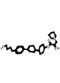 C=C(CN1CCCCC1)C(=O)OC1CCC(C2CCC(c3ccc(CCCCC)cc3)CC2)CC1